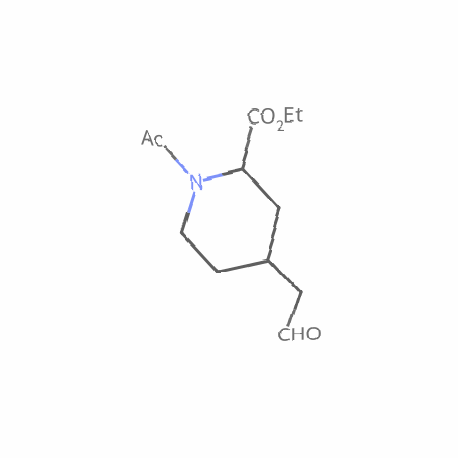 CCOC(=O)C1CC(CC=O)CCN1C(C)=O